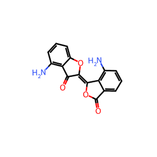 Nc1cccc2c1C(=O)C(=C1OC(=O)c3cccc(N)c31)O2